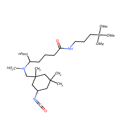 CCCCCC(CCCC(=O)NCCC[Si](OC)(OC)OC)N(CC1(C)CC(N=C=O)CC(C)(C)C1)C(=O)O